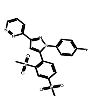 CS(=O)(=O)c1ccc(-c2cc(-c3cccnn3)nn2-c2ccc(F)cc2)c(S(C)(=O)=O)c1